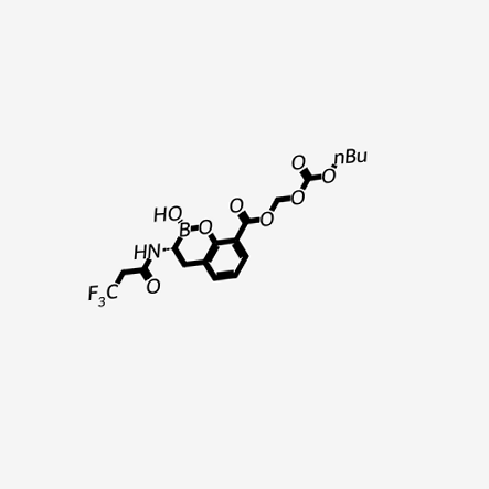 CCCCOC(=O)OCOC(=O)c1cccc2c1OB(O)[C@@H](NC(=O)CC(F)(F)F)C2